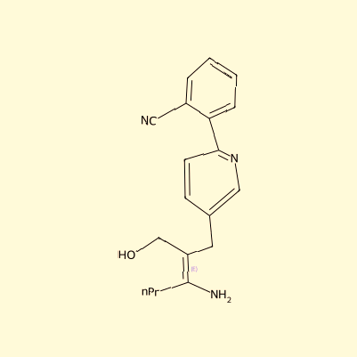 CCC/C(N)=C(\CO)Cc1ccc(-c2ccccc2C#N)nc1